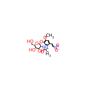 COc1cc(C=C[N+](=O)[O-])ccc1O[C@H]1O[C@H](CO)[C@@H](O)[C@H](O)[C@@H]1NC(C)=O